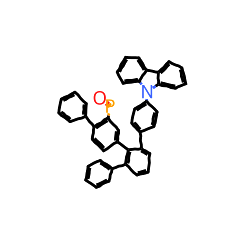 O=Pc1cc(-c2c(-c3ccccc3)cccc2-c2ccc(-n3c4ccccc4c4ccccc43)cc2)ccc1-c1ccccc1